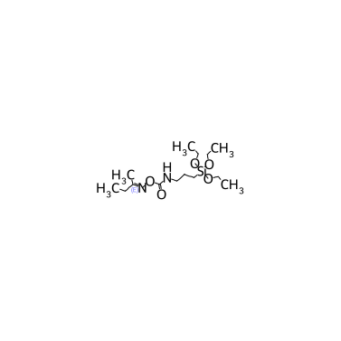 CCO[Si](CCCNC(=O)O/N=C(\C)CC)(OCC)OCC